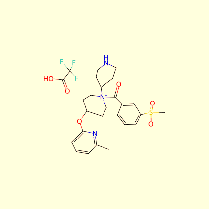 Cc1cccc(OC2CC[N+](C(=O)c3cccc(S(C)(=O)=O)c3)(C3CCNCC3)CC2)n1.O=C(O)C(F)(F)F